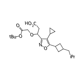 CC(C)CC1CC(c2onc(C(CC(=O)O)OCC(=O)OC(C)(C)C)c2C2CC2)C1